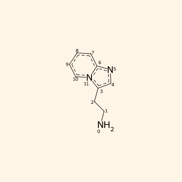 NCCc1cnc2ccccn12